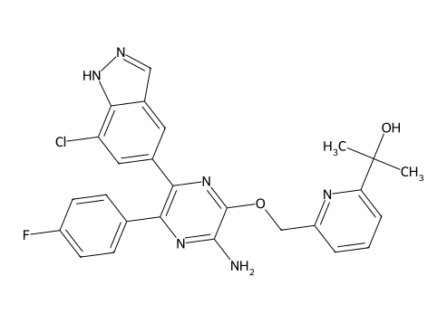 CC(C)(O)c1cccc(COc2nc(-c3cc(Cl)c4[nH]ncc4c3)c(-c3ccc(F)cc3)nc2N)n1